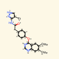 CCc1c[nH]nc1NC(=O)Cc1ccc(Oc2ncnc3cc(OC)c(OC)cc23)cc1